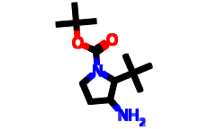 CC(C)(C)OC(=O)N1CCC(N)C1C(C)(C)C